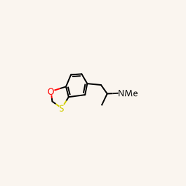 CNC(C)Cc1ccc2c(c1)SCO2